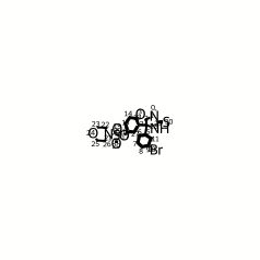 CN1C(=O)C(c2cccc(Br)c2)(c2cccc(OS(=O)(=O)N3CCOCC3)c2)NC1=S